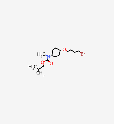 CC(C)COC(=O)N(C)[C@H]1CC[C@H](OCCCCBr)CC1